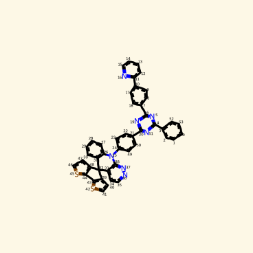 c1ccc(-c2nc(-c3ccc(-c4ccccn4)cc3)nc(-c3ccc(N4c5ccccc5C5(c6ccnnc64)c4ccsc4-c4sccc45)cc3)n2)cc1